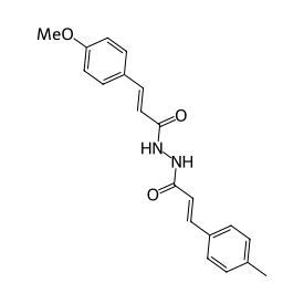 COc1ccc(C=CC(=O)NNC(=O)C=Cc2ccc(C)cc2)cc1